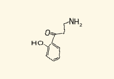 NCCC(=O)c1ccccc1O